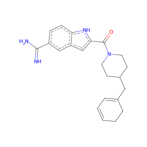 N=C(N)c1ccc2[nH]c(C(=O)N3CCC(CC4=CC=CCC4)CC3)cc2c1